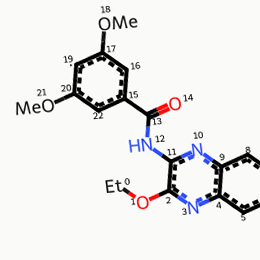 CCOc1nc2ccccc2nc1NC(=O)c1cc(OC)[c]c(OC)c1